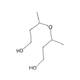 CC(CCO)OC(C)CCO